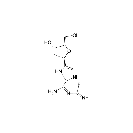 N=C(F)/N=C(/N)C1NC=C([C@H]2C[C@H](O)[C@@H](CO)O2)N1